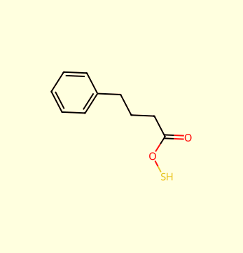 O=C(CCCc1ccccc1)OS